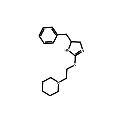 c1ccc(CC2CN=C(SCCN3CCCCC3)N2)cc1